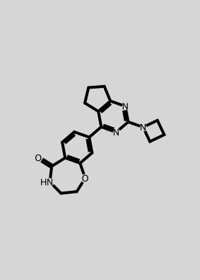 O=C1NCCOc2cc(-c3nc(N4CCC4)nc4c3CCC4)ccc21